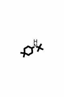 CC1(C)CCC(NC(C)(C)C)CC1